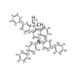 CC1(C)c2cc(-c3ccccc3)ccc2-c2cc(N(c3ccc(-c4ccccc4)cc3)c3ccc(-c4ccccc4)cc3)c3ccccc3c21